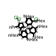 CCCCCCc1cc(CCCCCC)cc([Si](C2=[C]([Ti+3])C(CCC)=CC2)(c2cc(CCCCCC)cc(CCCCCC)c2)c2cc(CCCCCC)cc(CCCCCC)c2)c1.[Cl-].[Cl-].[Cl-]